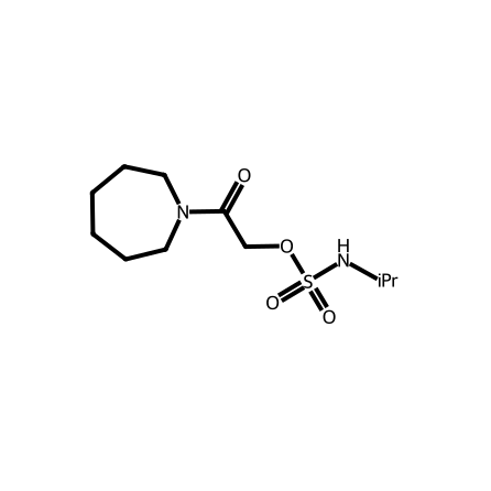 CC(C)NS(=O)(=O)OCC(=O)N1CCCCCC1